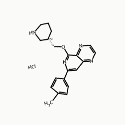 Cc1ccc(-c2cc3nccnc3c(OC[C@H]3CCCNC3)n2)cc1.Cl